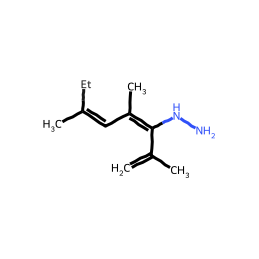 C=C(C)/C(NN)=C(C)\C=C(\C)CC